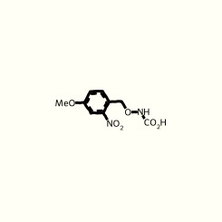 COc1ccc(CONC(=O)O)c([N+](=O)[O-])c1